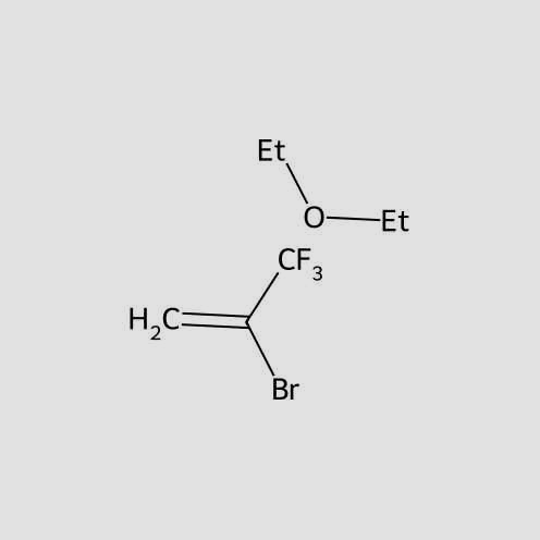 C=C(Br)C(F)(F)F.CCOCC